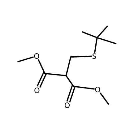 COC(=O)C(CSC(C)(C)C)C(=O)OC